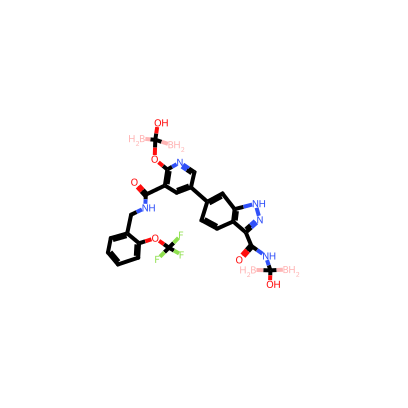 BC(B)(O)NC(=O)c1n[nH]c2cc(-c3cnc(OC(B)(B)O)c(C(=O)NCc4ccccc4OC(F)(F)F)c3)ccc12